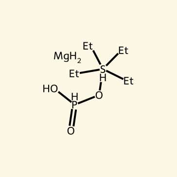 CC[SH](CC)(CC)(CC)O[PH](=O)O.[MgH2]